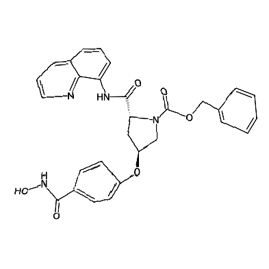 O=C(NO)c1ccc(O[C@H]2C[C@H](C(=O)Nc3cccc4cccnc34)N(C(=O)OCc3ccccc3)C2)cc1